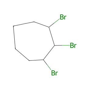 BrC1CCCCC(Br)C1Br